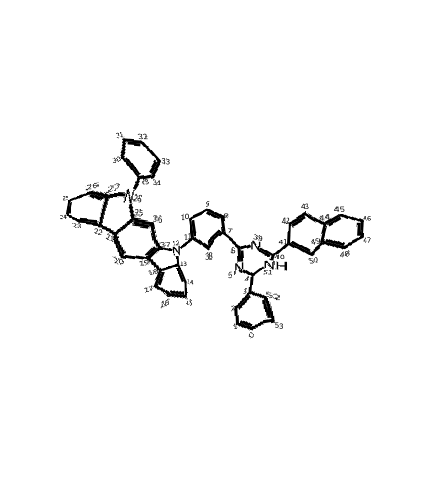 c1ccc(C2N=C(c3cccc(-n4c5ccccc5c5cc6c7ccccc7n(-c7ccccc7)c6cc54)c3)N=C(c3ccc4ccccc4c3)N2)cc1